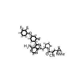 CNC1(C=C(C#N)C(=O)N2CCCC2Cn2nc(-c3ccc(Oc4cccc(F)c4F)cc3F)c3c(N)ncnc32)CC1